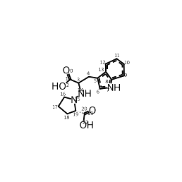 O=C(O)C(Cc1c[nH]c2ccccc12)NN1CCC[C@H]1C(=O)O